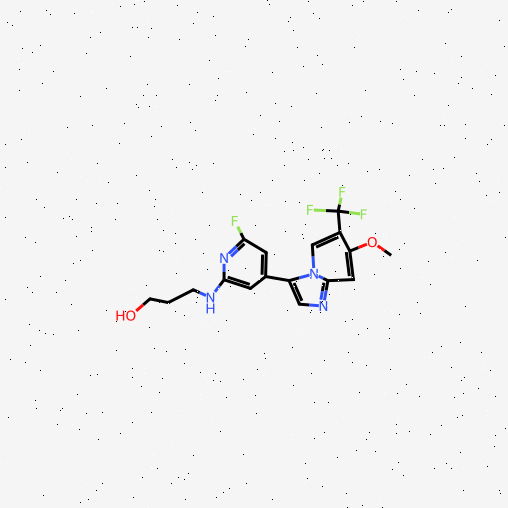 COc1cc2ncc(-c3cc(F)nc(NCCCO)c3)n2cc1C(F)(F)F